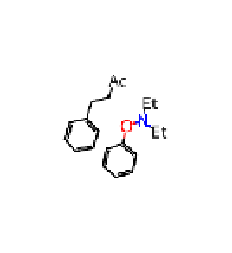 CC(=O)CCc1ccccc1.CCN(CC)Oc1ccccc1